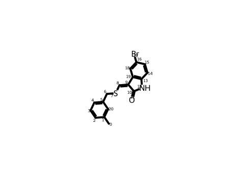 Cc1cccc(CSC=C2C(=O)Nc3ccc(Br)cc32)c1